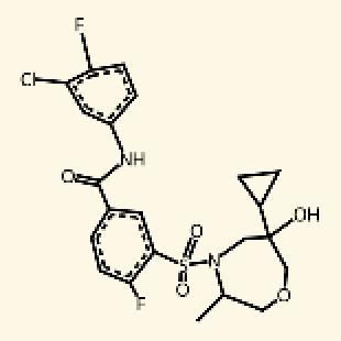 CC1COCC(O)(C2CC2)CN1S(=O)(=O)c1cc(C(=O)Nc2ccc(F)c(Cl)c2)ccc1F